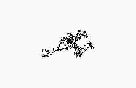 CCCO[Si](CCCN(CCC[Si](OCCC)(OCCC)OCCC)CCC[Si](OCCC)(OCCC)OCCC)(OCCC)OCCC.CCO[Si](CCCN(CCC[Si](OCC)(OCC)OCC)CCC[Si](OCC)(OCC)OCC)(OCC)OCC.COCC(OC)O[SiH2]CCCN(CCC[SiH2]OC(COC)OC)CCC[SiH2]OC(COC)OC